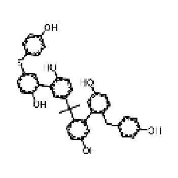 CC(C)(c1ccc(O)c(-c2cc(Sc3ccc(O)cc3)ccc2O)c1)c1ccc(O)cc1-c1cc(O)ccc1Cc1ccc(O)cc1